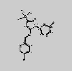 Cc1ccc(COc2cc(C(F)(F)F)nn2-c2cccc(C)c2)cc1